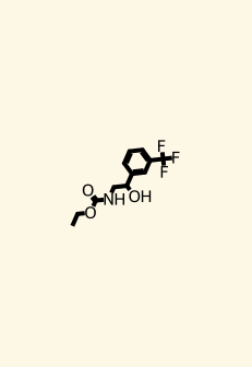 CCOC(=O)NCC(O)c1cccc(C(F)(F)F)c1